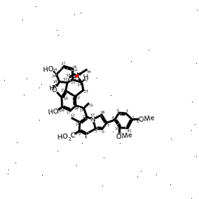 COc1ccc(-c2cc3cc(C(=O)O)c(C)c(C(C)c4cc(O)c5c6c4C[C@@H]4[C@@H]7C=C[C@H](O)[C@H](O5)[C@]67CCN4C)n3c2)c(OC)c1